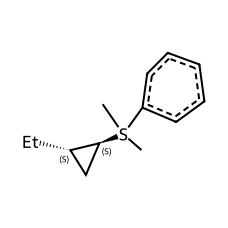 CC[C@H]1C[C@@H]1S(C)(C)c1ccccc1